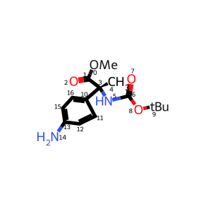 COC(=O)[C@](C)(NC(=O)OC(C)(C)C)c1ccc(N)cc1